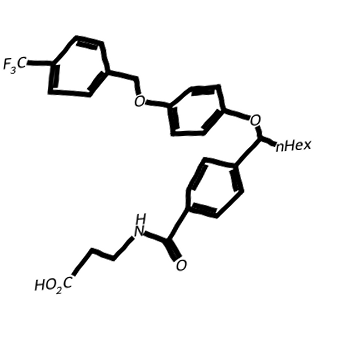 CCCCCCC(Oc1ccc(OCc2ccc(C(F)(F)F)cc2)cc1)c1ccc(C(=O)NCCC(=O)O)cc1